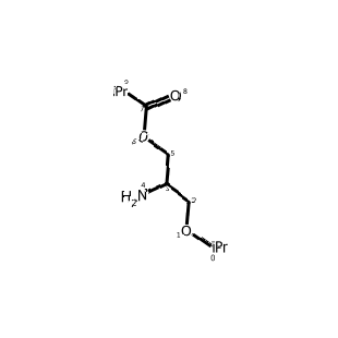 CC(C)OCC(N)COC(=O)C(C)C